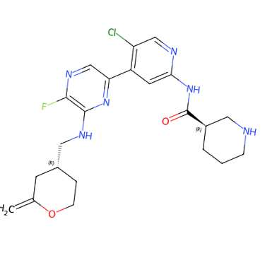 C=C1C[C@H](CNc2nc(-c3cc(NC(=O)[C@@H]4CCCNC4)ncc3Cl)cnc2F)CCO1